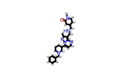 Cc1nn2c(C3CCCN(Cc4ccccc4)C3)ccnc2c1CNCC1CCN(C)C(=O)C1